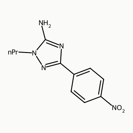 CCCn1nc(-c2ccc([N+](=O)[O-])cc2)nc1N